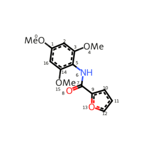 COc1cc(OC)c(NC(=O)c2ccco2)c(OC)c1